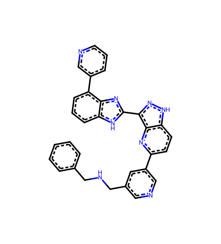 c1ccc(CNCc2cncc(-c3ccc4[nH]nc(-c5nc6c(-c7cccnc7)cccc6[nH]5)c4n3)c2)cc1